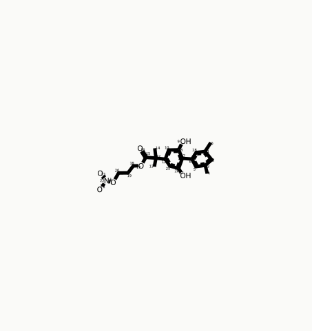 Cc1cc(C)cc(-c2c(O)cc(C(C)(C)C(=O)OCCCO[N+](=O)[O-])cc2O)c1